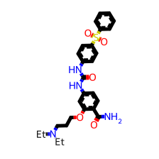 CCN(CC)CCCOc1cc(NC(=O)Nc2ccc(S(=O)(=O)c3ccccc3)cc2)ccc1C(N)=O